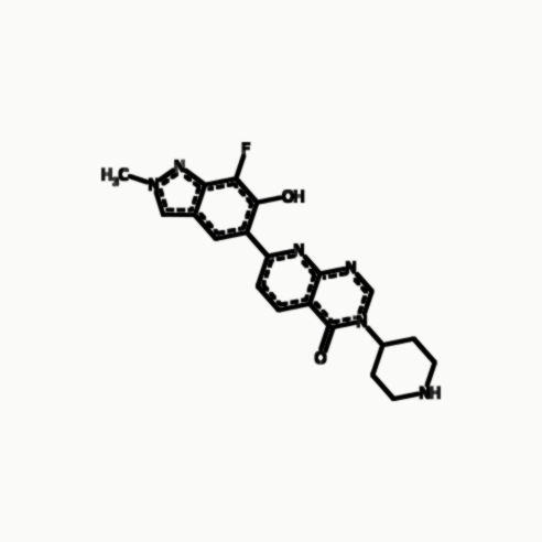 Cn1cc2cc(-c3ccc4c(=O)n(C5CCNCC5)cnc4n3)c(O)c(F)c2n1